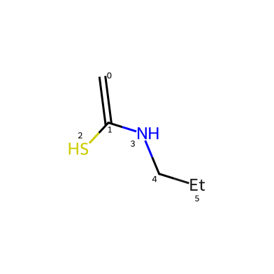 C=C(S)NCCC